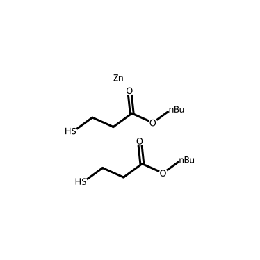 CCCCOC(=O)CCS.CCCCOC(=O)CCS.[Zn]